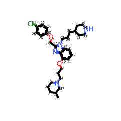 CC1CCCN(CCCOc2cccc3c2nc(COc2ccc(Cl)cc2)n3CCCC2CCNCC2)C1